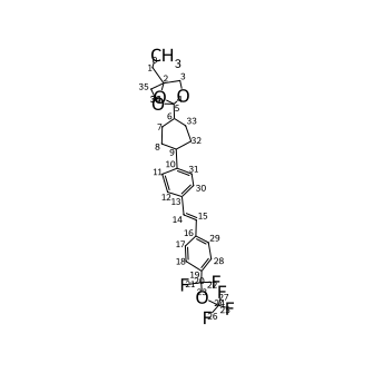 CCC12COC(C3CCC(c4ccc(/C=C/c5ccc(C(F)(F)OC(F)(F)F)cc5)cc4)CC3)(OC1)O2